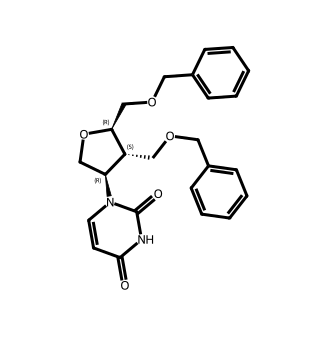 O=c1ccn([C@H]2CO[C@@H](COCc3ccccc3)[C@@H]2COCc2ccccc2)c(=O)[nH]1